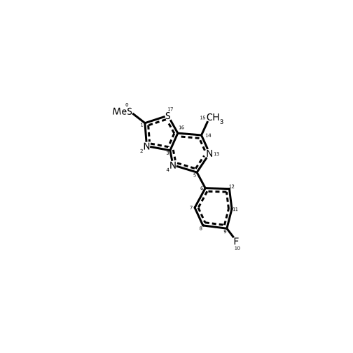 CSc1nc2nc(-c3ccc(F)cc3)nc(C)c2s1